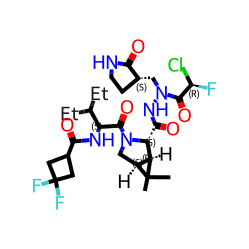 CCC(CC)[C@H](NC(=O)C1CC(F)(F)C1)C(=O)N1C[C@H]2[C@@H]([C@H]1C(=O)NN(C[C@@H]1CCNC1=O)C(=O)[C@H](F)Cl)C2(C)C